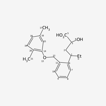 CCC(CC(O)C(=O)O)c1ccccc1COc1cc(C)ccc1C